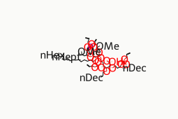 C=CCOC(=O)O[C@H](CCCCCCCCCCC)CCO[C@@H]1[C@@H](OCCCCCCCCCCCC)[C@H](OC(=O)OCC=C)[C@@H](CO[C@@H]2O[C@H](COC)[C@@H](OP(=O)(OCC=C)OCC=C)[C@H](OCC[C@@H](CCCCCCC)OC)[C@H]2OCCCCCCCCCC/C=C\CCCCCC)O[C@@H]1O